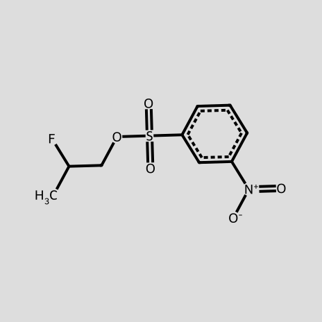 CC(F)COS(=O)(=O)c1cccc([N+](=O)[O-])c1